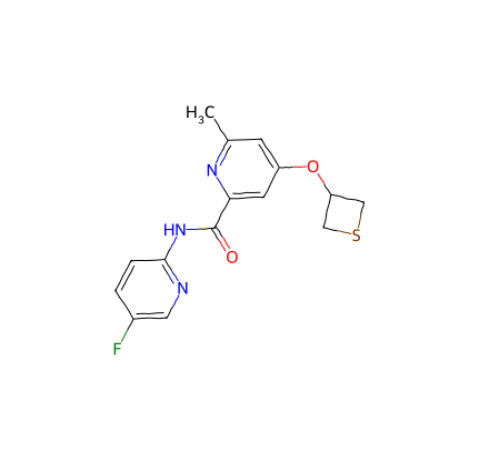 Cc1cc(OC2CSC2)cc(C(=O)Nc2ccc(F)cn2)n1